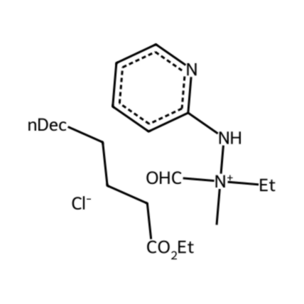 CCCCCCCCCCCCCC(=O)OCC.CC[N+](C)(C=O)Nc1ccccn1.[Cl-]